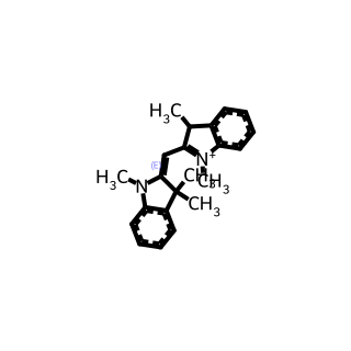 CC1C(/C=C2/N(C)c3ccccc3C2(C)C)=[N+](C)c2ccccc21